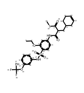 CCOc1cc(NC(=O)C(CC2CC=CCC2)C(=O)SC)ccc1S(=O)(=O)Nc1cccc(OC(F)(F)P)c1